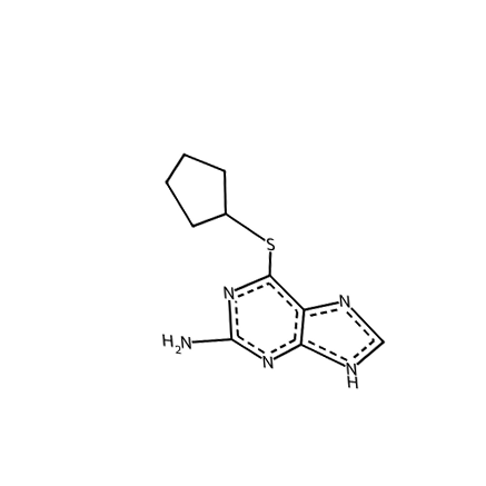 Nc1nc(SC2CCCC2)c2nc[nH]c2n1